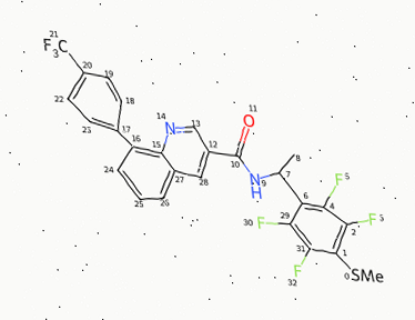 CSc1c(F)c(F)c(C(C)NC(=O)c2cnc3c(-c4ccc(C(F)(F)F)cc4)cccc3c2)c(F)c1F